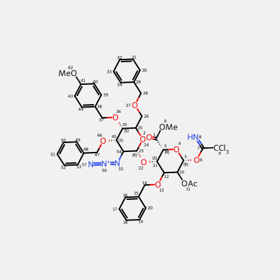 COC(=O)[C@@H]1O[C@H](OC(=N)C(Cl)(Cl)Cl)C(OC(C)=O)C(OCc2ccccc2)[C@@H]1O[C@H]1OC(COCc2ccccc2)[C@@H](OCc2ccc(OC)cc2)[C@@H](OCc2ccccc2)C1N=[N+]=[N-]